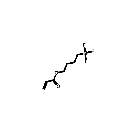 C=CC(=O)OCCCC[Si](F)(F)F